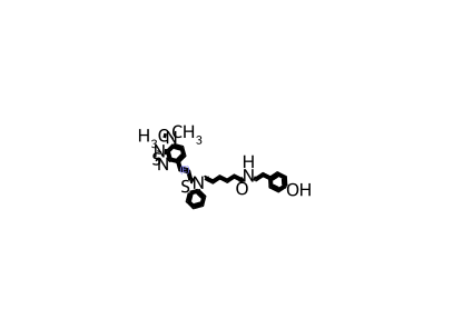 CN(C)c1ccc(/C=C/c2sc3ccccc3[n+]2CCCCCC(=O)NCCc2ccc(O)cc2)c2nsnc12